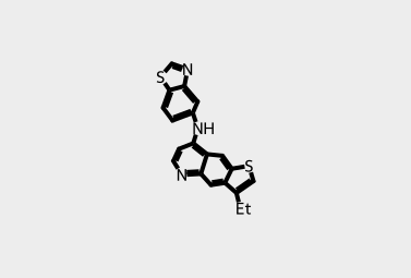 CCc1csc2cc3c(Nc4ccc5scnc5c4)ccnc3cc12